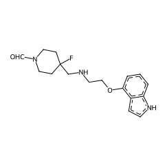 O=CN1CCC(F)(CNCCOc2cccc3[nH]ccc23)CC1